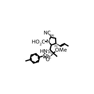 CC=C[C@@H]1C[C@H](C#N)N(C(=O)O)C1[C@@H](N[S+]([O-])c1ccc(C)cc1)[C@](C)(CCC)OC